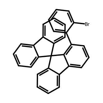 Brc1ccccc1-c1cccc2c1C1(c3ccccc3-c3ccccc31)c1ccccc1-2